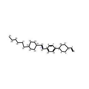 C=CC1CCC(c2ccc(/C=C/C3CCC(CCCCCC)CC3)cc2)CC1